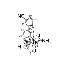 C[C@]12CCOC[C@H]1[C@]1(COC(N)=N1)c1cc(-c3cccc(C#N)c3)ccc1O2